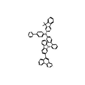 CC1(C)c2ccccc2-c2ccc(N(c3ccc(-c4ccccc4)cc3)c3ccc(-c4ccccc4-n4c5ccccc5c5ccc(-c6cc7ccccc7c7ccccc67)cc54)cc3)cc21